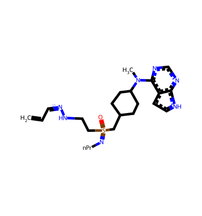 C=C/C=N\NCCS(=O)(CC1CCC(N(C)c2ncnc3[nH]ccc23)CC1)=NCCC